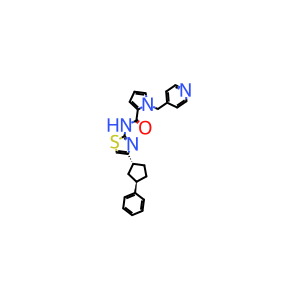 O=C(Nc1nc([C@@H]2CC[C@@H](c3ccccc3)C2)cs1)c1cccn1Cc1ccncc1